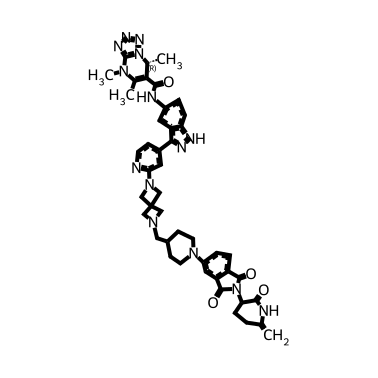 C=C1CCC(N2C(=O)c3ccc(N4CCC(CN5CC6(C5)CN(c5cc(-c7n[nH]c8ccc(NC(=O)C9=C(C)N(C)c%10nnnn%10[C@@H]9C)cc78)ccn5)C6)CC4)cc3C2=O)C(=O)N1